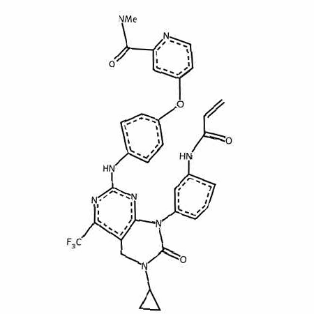 C=CC(=O)Nc1cccc(N2C(=O)N(C3CC3)Cc3c2nc(Nc2ccc(Oc4ccnc(C(=O)NC)c4)cc2)nc3C(F)(F)F)c1